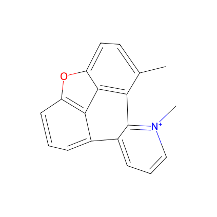 Cc1ccc2oc3cccc4c5ccc[n+](C)c5c1c2c34